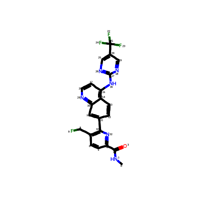 CNC(=O)c1ccc(CF)c(-c2ccc3c(Nc4ncc(C(F)(F)F)cn4)ccnc3c2)n1